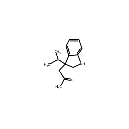 CC(=O)CC1(N(C)C)CNc2ccccc21